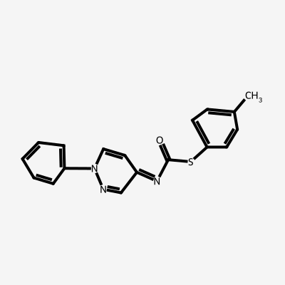 Cc1ccc(SC(=O)N=c2ccn(-c3ccccc3)nc2)cc1